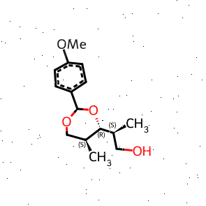 COc1ccc(C2OC[C@H](C)[C@@H]([C@@H](C)CO)O2)cc1